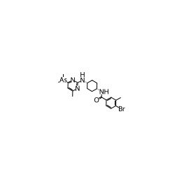 Cc1cc([As](C)C)nc(N[C@H]2CC[C@@H](NC(=O)c3ccc(Br)c(C)c3)CC2)n1